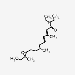 CCN(CC)C(=O)/C=C(C)/C=C/CC(C)CCC1OC1(C)CC